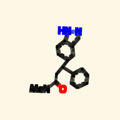 CNC(=O)CC(c1ccccc1)c1ccc2[nH]ncc2c1